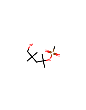 CC(C)(CO)CC(C)(C)OS(C)(=O)=O